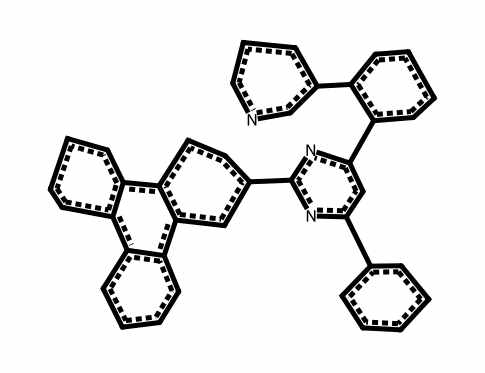 c1ccc(-c2cc(-c3ccccc3-c3cccnc3)nc(-c3ccc4c5ccccc5c5ccccc5c4c3)n2)cc1